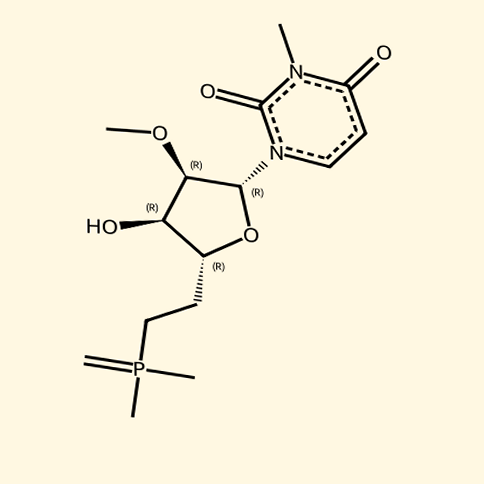 C=P(C)(C)CC[C@H]1O[C@@H](n2ccc(=O)n(C)c2=O)[C@H](OC)[C@@H]1O